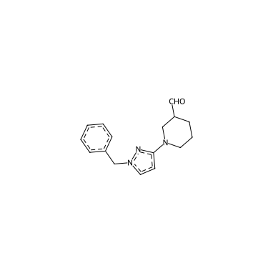 O=CC1CCCN(c2ccn(Cc3ccccc3)n2)C1